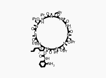 C/C=C/C[C@@H](C)[C@@H](OC(=O)Nc1ccccc1N)[C@H]1C(=O)N[C@@H](CC)C(=O)N(C)CC(=O)N(C)[C@@H](CC(C)C)C(=O)N[C@@H](C(C)C)C(=O)N(C)[C@@H](CC(C)C)C(=O)N[C@@H](C)C(=O)N[C@H](C)C(=O)N(C)[C@@H](CC(C)C)C(=O)N(C)[C@@H](CC(C)C)C(=O)N(C)[C@@H](C(C)C)C(=O)N1C